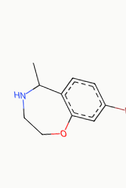 CC1NCCOc2cc(Br)ccc21